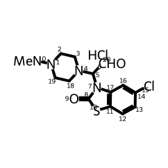 CNN1CCN(C(C=O)n2c(=O)sc3ccc(Cl)cc32)CC1.Cl